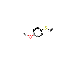 [CH2]CCSc1ccc(OC(C)C)cc1